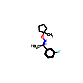 CC1(O/N=C(\C(=O)O)c2cccc(F)c2)CCCC1